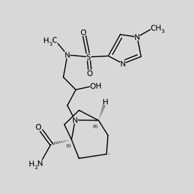 CN(CC(O)CN1[C@@H]2C[CH]C[C@@]1(C(N)=O)CC2)S(=O)(=O)c1cn(C)cn1